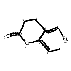 C/C=C1/OC(=O)CC/C1=C/CC